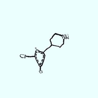 Clc1cc(C2CCNCC2)sc1Cl